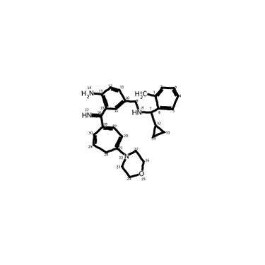 Cc1ccccc1C(NCc1ccc(N)c(C(=N)C2=CC=C(N3CCOCC3)CC=C2)c1)C1CC1